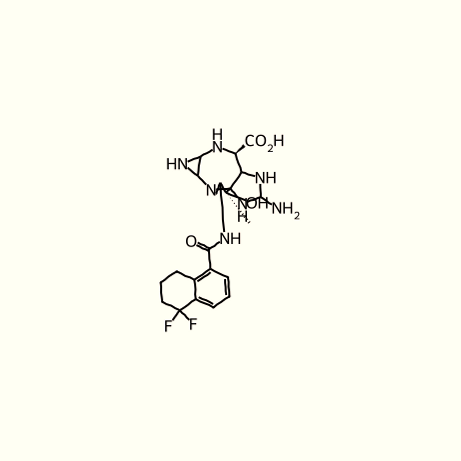 C[C@]1(O)C(NC(=O)c2cccc3c2CCCC3(F)F)CN2C3NC3N[C@@H](C(=O)O)C3NC(N)NC321